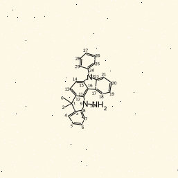 CC1(C)c2ccccc2N(N)c2c1ccc1c2c2ccccc2n1-c1ccccc1